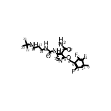 Cc1cc(F)c(COc2nsc(NC(=O)NCCCNC(C)(C)C)c2C(N)=O)c(F)c1F